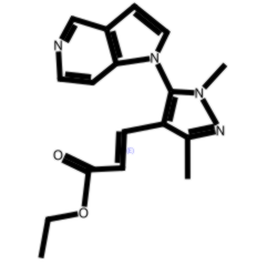 CCOC(=O)/C=C/c1c(C)nn(C)c1-n1ccc2cnccc21